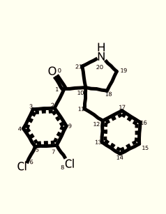 O=C(c1ccc(Cl)c(Cl)c1)C1(Cc2ccccc2)CCNC1